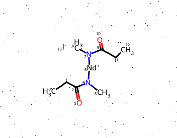 CCC(=O)[N](C)[Nd+][N](C)C(=O)CC.[I-]